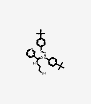 CC(C)(C)c1ccc(SOSc2ccc(C(C)(C)C)cc2)cc1.O=C(NCCS)c1cccnc1